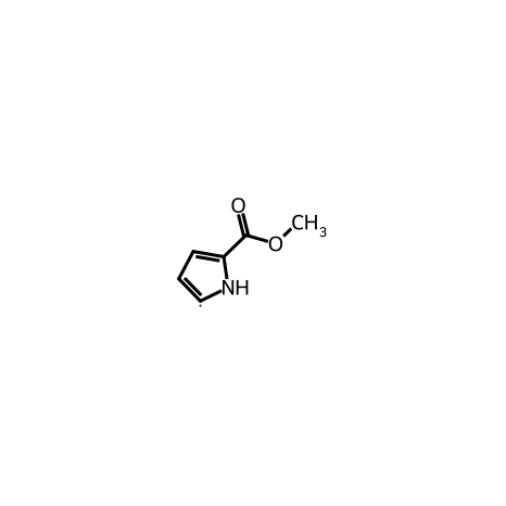 COC(=O)c1cc[c][nH]1